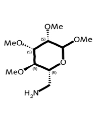 COC1O[C@H](CN)[C@@H](OC)[C@H](OC)[C@@H]1OC